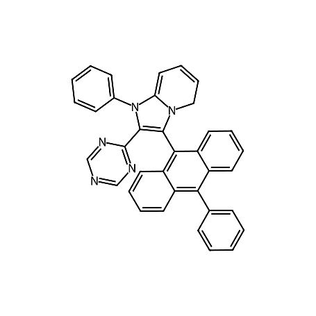 C1=CCN2C(=C1)N(c1ccccc1)C(c1ncncn1)=C2c1c2ccccc2c(-c2ccccc2)c2ccccc12